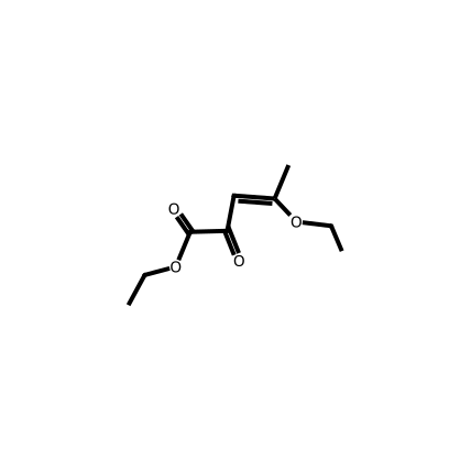 CCOC(=O)C(=O)C=C(C)OCC